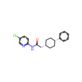 O=C(C[C@H]1CC[C@@H](c2ccccc2)CC1)Nc1ccc(Cl)cn1